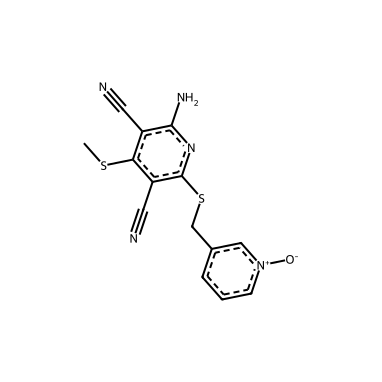 CSc1c(C#N)c(N)nc(SCc2ccc[n+]([O-])c2)c1C#N